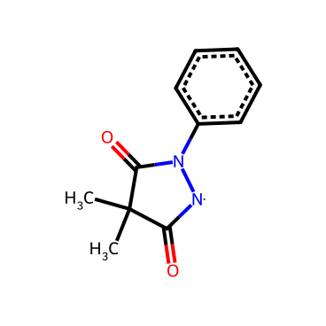 CC1(C)C(=O)[N]N(c2ccccc2)C1=O